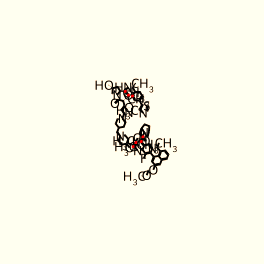 CCc1cccc2cc(OCOC)cc(-c3ncc4c(N5CC6CCC(C5)N6C(=O)OC(C)(C)C)nc(OC5CCN(CC6CCN(c7cc([C@H](C(=O)N8C[C@H](O)C[C@H]8C(=O)N[C@@H](C)c8ccc(-c9scnc9C)cc8)C(C)C)on7)CC6)CC5)nc4c3F)c12